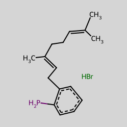 Br.CC(C)=CCC/C(C)=C/Cc1ccccc1P